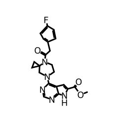 COC(=O)c1cc2c(N3CCN(C(=O)Cc4ccc(F)cc4)C4(CC4)C3)ncnc2[nH]1